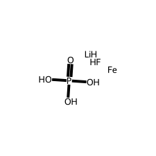 F.O=P(O)(O)O.[Fe].[LiH]